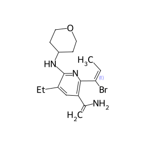 C=C(N)c1cc(CC)c(NC2CCOCC2)nc1/C(Br)=C\C